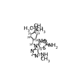 CNc1ncnc2c1c(SC(N)=O)c(N)n2Cc1ccc(C(C)(C)C)cc1